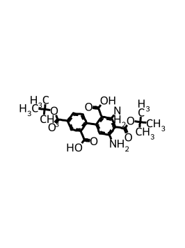 CC(C)(C)OC(=O)c1ccc(-c2cc(N)c(C(=O)OC(C)(C)C)c(N)c2C(=O)O)c(C(=O)O)c1